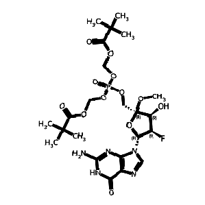 CO[C@]1(COP(=O)(OCOC(=O)C(C)(C)C)OCOC(=O)C(C)(C)C)O[C@@H](n2cnc3c(=O)[nH]c(N)nc32)[C@H](F)[C@@H]1O